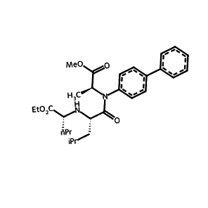 CCC[C@@H](N[C@@H](CC(C)C)C(=O)N(c1ccc(-c2ccccc2)cc1)[C@@H](C)C(=O)OC)C(=O)OCC